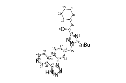 CCCCc1nc(C(=O)CC2CCCCC2)nn1Cc1ccc(-c2ccncc2-c2nnn[nH]2)cc1